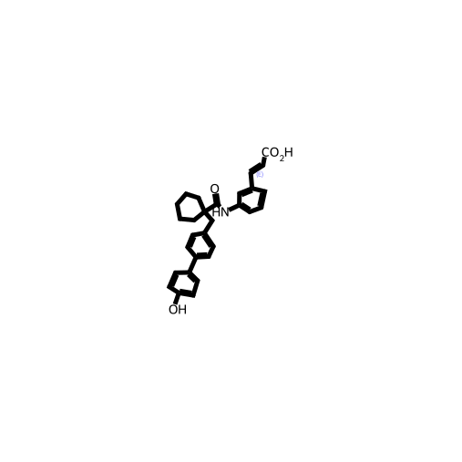 O=C(O)/C=C/c1cccc(NC(=O)C2(Cc3ccc(-c4ccc(O)cc4)cc3)CCCCC2)c1